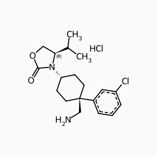 CC(C)[C@@H]1COC(=O)N1[C@H]1CC[C@@](CN)(c2cccc(Cl)c2)CC1.Cl